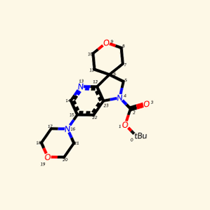 CC(C)(C)OC(=O)N1CC2(CCOCC2)c2ncc(N3CCOCC3)cc21